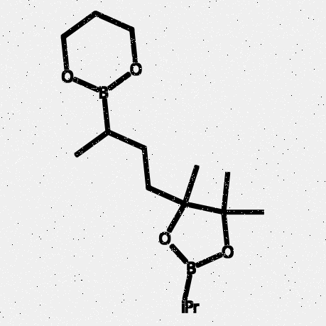 CC(C)B1OC(C)(C)C(C)(CCC(C)B2OCCCO2)O1